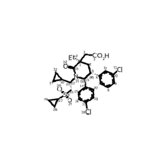 CC[C@]1(CC(=O)O)C[C@H](c2cccc(Cl)c2)[C@@H](c2ccc(Cl)cc2)N([C@H](CS(=O)(=O)C2CC2)C2CC2)C1=O